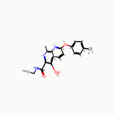 Cc1nc(C(=O)NCC(=O)O)c(O)c2ccc(Oc3ccc(C(F)(F)F)cc3)nc12